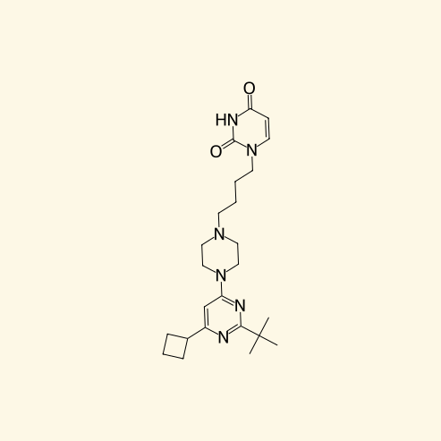 CC(C)(C)c1nc(C2CCC2)cc(N2CCN(CCCCn3ccc(=O)[nH]c3=O)CC2)n1